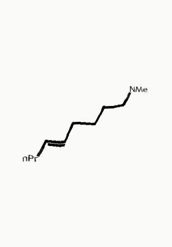 CCC/C=C/CCCCNC